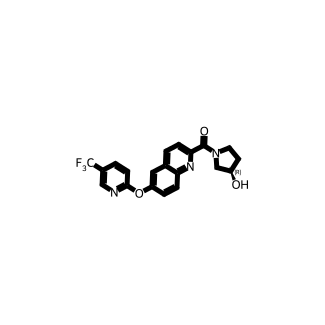 O=C(c1ccc2cc(Oc3ccc(C(F)(F)F)cn3)ccc2n1)N1CC[C@@H](O)C1